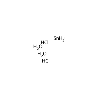 Cl.Cl.O.O.[SnH2]